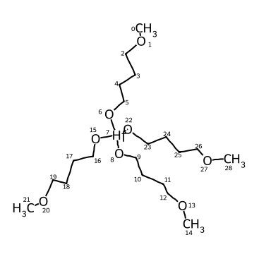 COCCCC[O][Hf]([O]CCCCOC)([O]CCCCOC)[O]CCCCOC